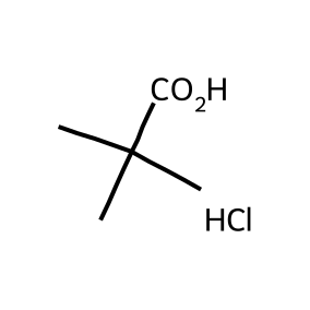 CC(C)(C)C(=O)O.Cl